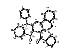 O=C(c1ccccc1)c1cc2c(ccc3ccccc32)c(C(=O)c2ccccc2)c1C(=O)c1ccccc1